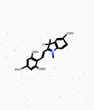 CCC1(C)C(/C=C/c2c(OC)cc(OC)cc2OC)=[N+](C)c2ccc(OC)cc21